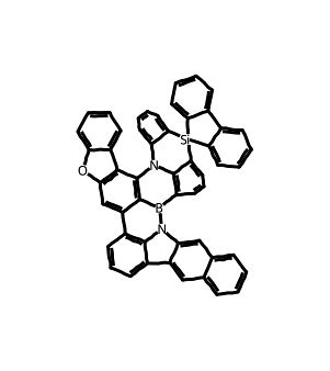 c1ccc2c(c1)-c1ccccc1[Si]21c2ccccc2N2c3c(cccc31)B1c3c(cc4oc5ccccc5c4c32)-c2cccc3c4cc5ccccc5cc4n1c23